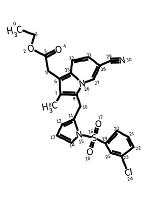 CCOC(=O)Cc1c(C)c(Cc2cccn2S(=O)(=O)c2cccc(Cl)c2)n2cc(C#N)ccc12